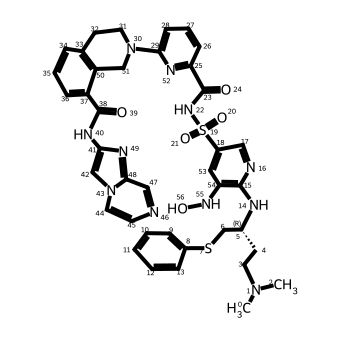 CN(C)CC[C@H](CSc1ccccc1)Nc1ncc(S(=O)(=O)NC(=O)c2cccc(N3CCc4cccc(C(=O)Nc5cn6ccncc6n5)c4C3)n2)cc1NO